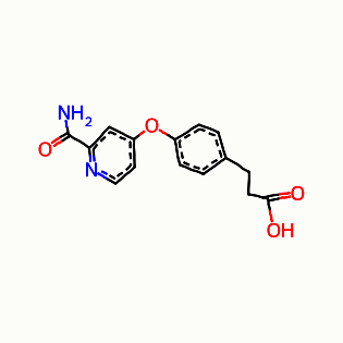 NC(=O)c1cc(Oc2ccc(CCC(=O)O)cc2)ccn1